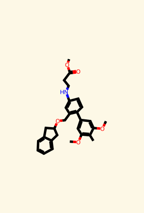 COC(=O)CCNc1ccc(-c2cc(OC)c(C)c(OC)c2)c(COC2Cc3ccccc3C2)c1